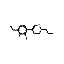 CCCC1CCC(c2ccc(CC)c(F)c2F)=CO1